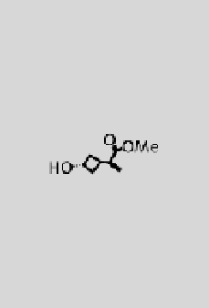 C=C(C(=O)OC)[C@H]1C[C@H](O)C1